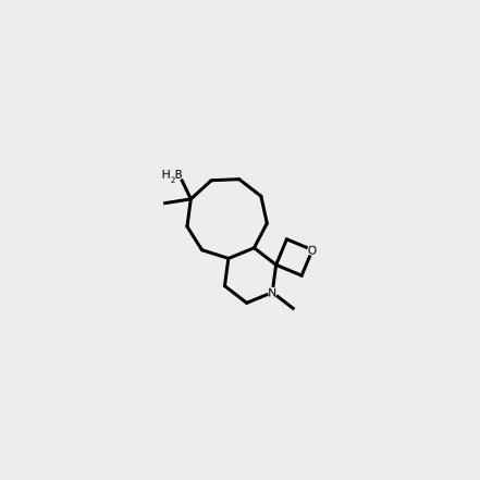 BC1(C)CCCCC2C(CCN(C)C23COC3)CC1